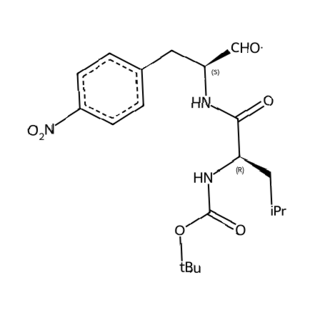 CC(C)C[C@@H](NC(=O)OC(C)(C)C)C(=O)N[C@H]([C]=O)Cc1ccc([N+](=O)[O-])cc1